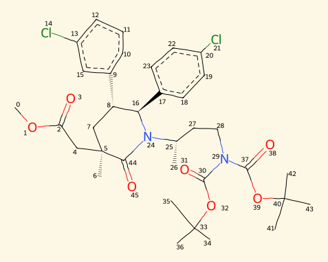 COC(=O)C[C@@]1(C)C[C@H](c2cccc(Cl)c2)[C@@H](c2ccc(Cl)cc2)N([C@@H](C)CCN(C(=O)OC(C)(C)C)C(=O)OC(C)(C)C)C1=O